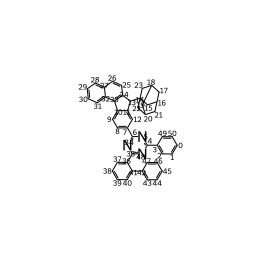 c1ccc(-c2nc(-c3ccc4c(c3)C(C35CC6CC(CC(C6)C3)C5)c3ccc5ccccc5c3-4)nc(-c3ccccc3-c3ccccc3)n2)cc1